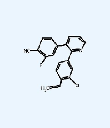 C=Cc1ccc(-c2ncccc2-c2ccc(C#N)c(F)c2)cc1Cl